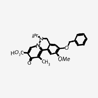 COc1cc2c(cc1OCc1ccccc1)CN(C(C)C)n1cc(C(=O)O)c(=O)c(C)c1-2